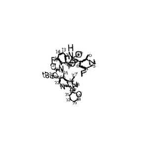 Cc1ncc(F)cc1S(=O)(=O)Nc1ccc(F)c(N(Cc2ccnc3c2c(C)nn3C2CCCCO2)C(=O)OC(C)(C)C)c1F